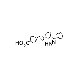 N=NC(c1ccccc1)c1cccc(OCc2ccc(C(=O)O)cc2)c1